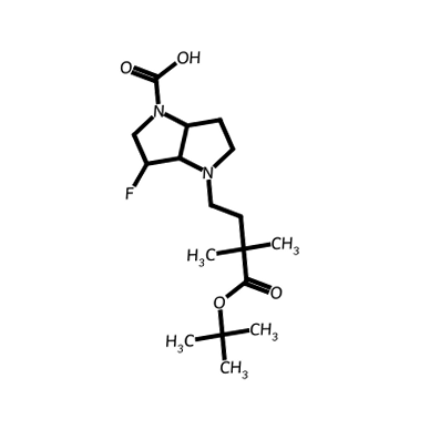 CC(C)(C)OC(=O)C(C)(C)CCN1CCC2C1C(F)CN2C(=O)O